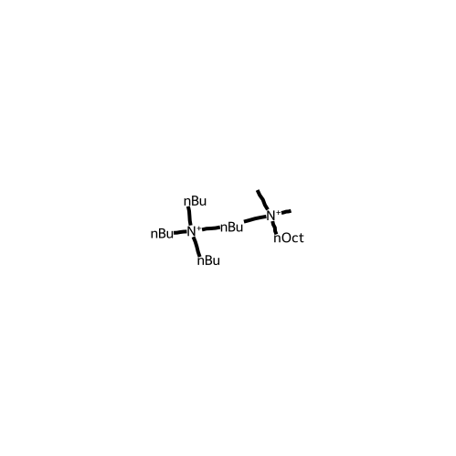 CCCCCCCC[N+](C)(C)C.CCCC[N+](CCCC)(CCCC)CCCC